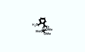 C=Cc1ccccc1C(CC)O[Si](OC)(OC)OC